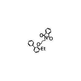 CCc1cccc(-c2ccccc2)c1OCCCN1C(=O)c2ccccc2C1=O